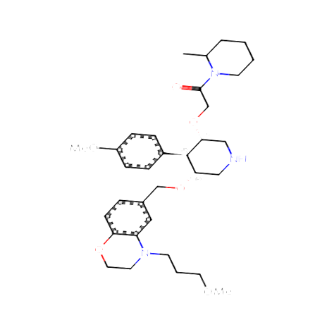 COCCCN1CCOc2ccc(CO[C@H]3CNC[C@@H](OCC(=O)N4CCCCC4C)[C@@H]3c3ccc(OC)cc3)cc21